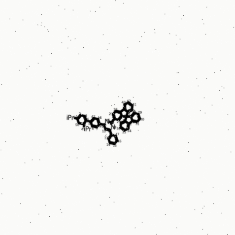 CC(C)C1=CC=C(c2ccc(-c3cc(-c4ccccc4)nc(-c4ccc5c(c4)C4(c6ccccc6-c6ccccc64)c4ccccc4-5)n3)cc2)C(C(C)C)C1